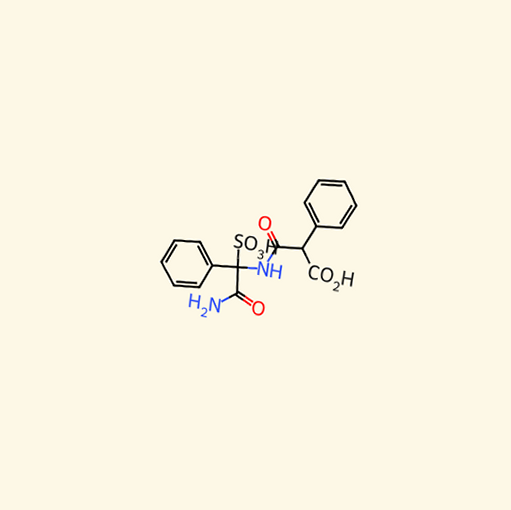 NC(=O)C(NC(=O)C(C(=O)O)c1ccccc1)(c1ccccc1)S(=O)(=O)O